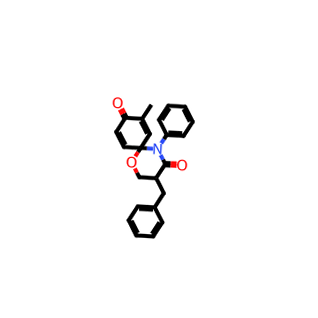 CC1=CC2(C=CC1=O)OCC(Cc1ccccc1)C(=O)N2c1ccccc1